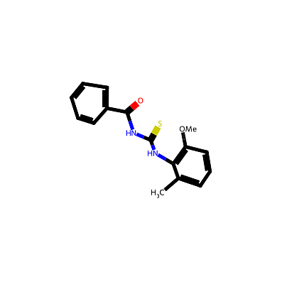 COc1cccc(C)c1NC(=S)NC(=O)c1ccccc1